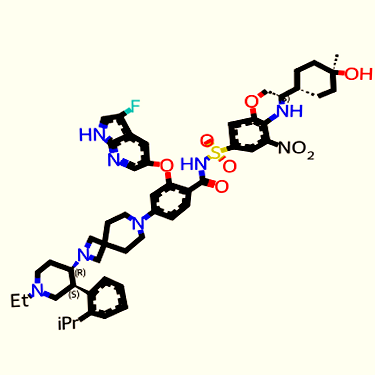 CCN1CC[C@@H](N2CC3(CCN(c4ccc(C(=O)NS(=O)(=O)c5cc6c(c([N+](=O)[O-])c5)N[C@@H]([C@H]5CC[C@](C)(O)CC5)CO6)c(Oc5cnc6[nH]cc(F)c6c5)c4)CC3)C2)[C@@H](c2ccccc2C(C)C)C1